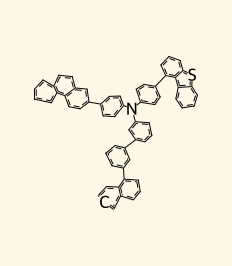 c1cc(-c2cccc(N(c3ccc(-c4ccc5c(ccc6ccccc65)c4)cc3)c3ccc(-c4cccc5sc6ccccc6c45)cc3)c2)cc(-c2cccc3ccccc23)c1